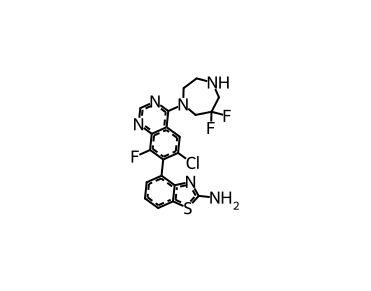 Nc1nc2c(-c3c(Cl)cc4c(N5CCNCC(F)(F)C5)ncnc4c3F)cccc2s1